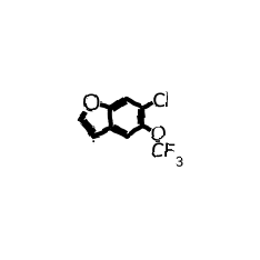 FC(F)(F)Oc1cc2[c]coc2cc1Cl